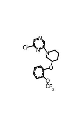 FC(F)(F)Oc1ccccc1O[C@@H]1CCCN(c2cncc(Cl)n2)C1